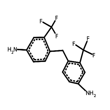 Nc1ccc(Cc2ccc(N)cc2C(F)(F)F)c(C(F)(F)F)c1